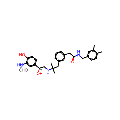 Cc1ccc(CNC(=O)Cc2cccc(CC(C)(C)NC[C@@H](O)c3ccc(O)c(NC=O)c3)c2)cc1C